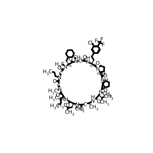 CCCN1CC(=O)N(C)[C@@H](CC2CCCCC2)C(=O)N(C)CC(=O)N[C@@H](CCc2ccc(C(F)(F)F)c(Cl)c2)C(=O)N2CCC[C@H]2C(=O)NC2(CCCC2)C(=O)N(C)[C@@H](C(C)C)C(=O)N[C@H](C)CC(=O)N(C)[C@@H](CC(C)C)C(=O)N[C@@H]([C@@H](C)CC)C(=O)N(C)CC1=O